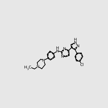 CCN1CCN(c2ccc(Nc3nccc(-c4c[nH]nc4-c4ccc(Cl)cc4)n3)cc2)CC1